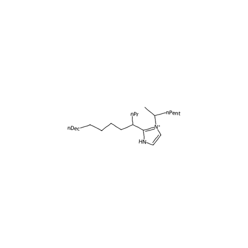 CCCCCCCCCCCCCCC(CCC)c1[nH]cc[n+]1C(C)CCCCC